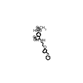 CS(=O)(=O)Nc1ccc2c(c1)S(=O)(=O)N=C2NCCCOc1cccc(CN2CCCCC2)c1